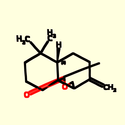 C=C1CC[C@H]2C(C)(C)CCCC23C(=O)OCC13